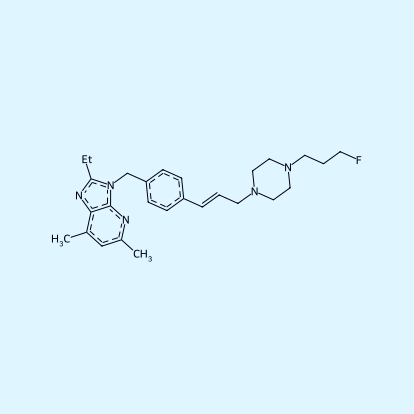 CCc1nc2c(C)cc(C)nc2n1Cc1ccc(/C=C/CN2CCN(CCCF)CC2)cc1